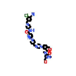 CNC(=O)C(CCC=O)N(C)C(=O)c1cc(N2CCN(CC3CCN(c4ccc(C(=O)NC5CCN(Cc6ccc(C#N)c(Cl)c6)CC5)nn4)CC3)CC2)ccc1C=O